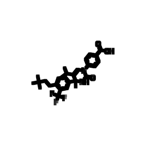 CC(C)C1=CN(c2ccc(C(=O)O)cc2)C(=O)NC1(C)c1ccc(CCC(C)(C)C)c(C(F)(F)F)c1